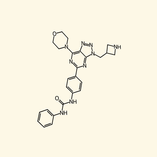 O=C(Nc1ccccc1)Nc1ccc(-c2nc(N3CCOCC3)c3nnn(CC4CNC4)c3n2)cc1